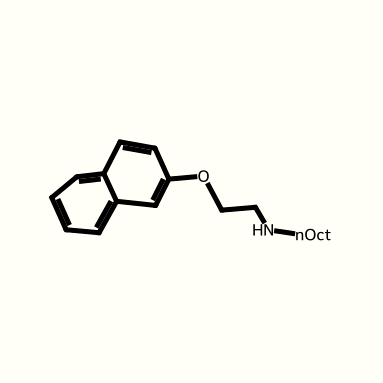 CCCCCCCCNCCOc1ccc2ccccc2c1